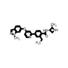 CCc1cc(-c2cc(Oc3ccc4cnn(C)c4c3)ccn2)ccc1C(=O)N[C@H]1CN[C@@H]1C